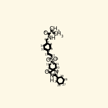 CN(C)C(=O)NCc1ccc(C=CS(=O)(=O)N2CCC3(CC2)N=C(C2CCCCC2)NC3=O)cc1